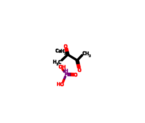 CC(=O)C(C)=O.O=[PH](O)O.[CaH2]